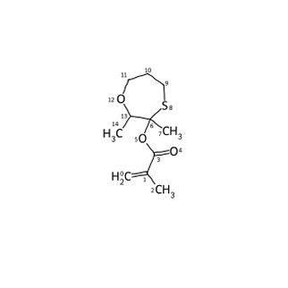 C=C(C)C(=O)OC1(C)SCCCOC1C